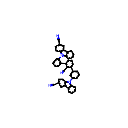 N#Cc1ccc2c(c1)c1ccccc1n2-c1cccc(-c2cccc(-c3ccccc3-n3c4ccccc4c4cc(C#N)ccc43)c2C#N)c1